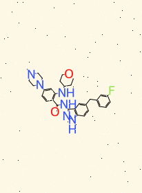 CN1CCN(c2ccc(C(=O)Nc3n[nH]c4ccc(Cc5cccc(F)c5)cc34)c(NC3CCOCC3)c2)CC1